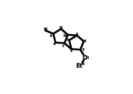 CCOC1CC2CC1C1CC(C)CC21